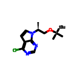 C[C@H](CO[Si](C)(C)C(C)(C)C)n1ccc2c(Cl)ncnc21